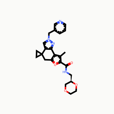 Cc1c(C(=O)NC[C@@H]2COCCO2)oc2c1-c1nn(Cc3cccnc3)cc1C1(CC1)C2